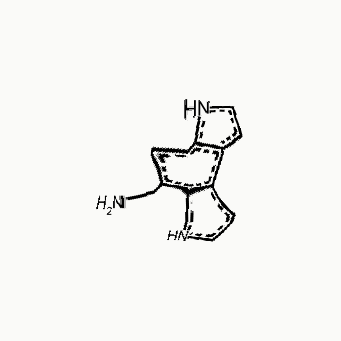 Nc1cc2[nH]ccc2c2cc[nH]c12